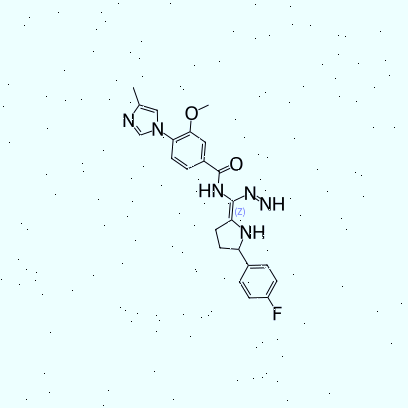 COc1cc(C(=O)N/C(N=N)=C2\CCC(c3ccc(F)cc3)N2)ccc1-n1cnc(C)c1